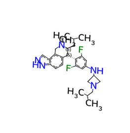 CC(C)C[C@H]1[C@H](c2c(F)cc(NC3CN(CC(C)C)C3)cc2F)c2ccc3[nH]ncc3c2CN1C